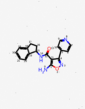 Nc1onc(-c2ccncc2)c1C(=O)NC1CCc2ccccc21